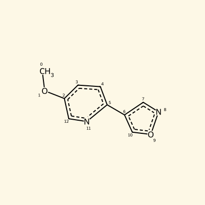 COc1ccc(-c2cnoc2)nc1